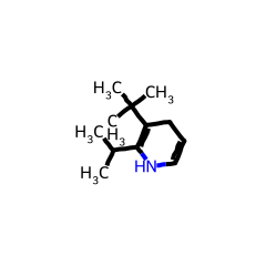 CC(C)C1=C(C(C)(C)C)CC=CN1